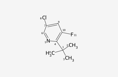 CC(C)(C)c1ncc(Cl)cc1F